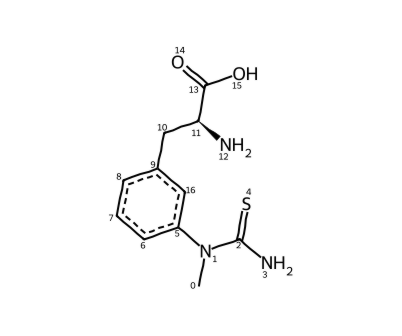 CN(C(N)=S)c1cccc(C[C@H](N)C(=O)O)c1